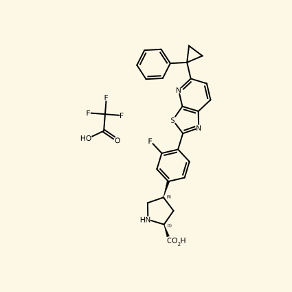 O=C(O)C(F)(F)F.O=C(O)[C@@H]1C[C@H](c2ccc(-c3nc4ccc(C5(c6ccccc6)CC5)nc4s3)c(F)c2)CN1